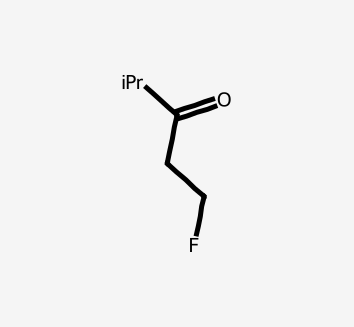 CC(C)C(=O)CCF